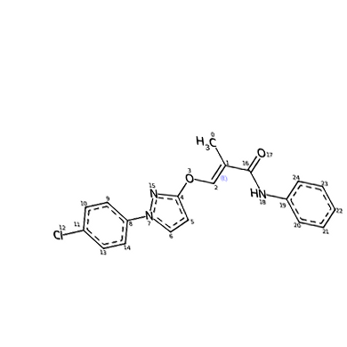 C/C(=C\Oc1ccn(-c2ccc(Cl)cc2)n1)C(=O)Nc1ccccc1